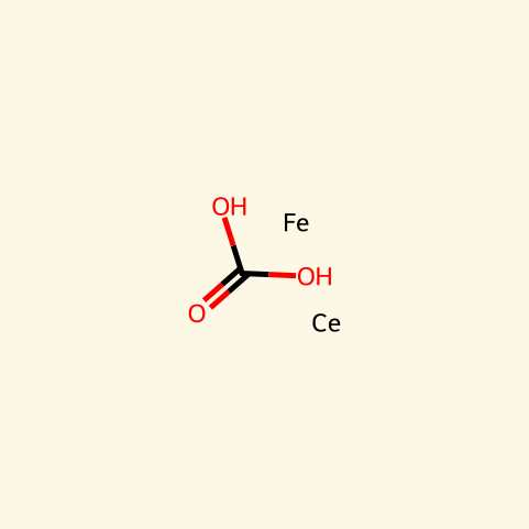 O=C(O)O.[Ce].[Fe]